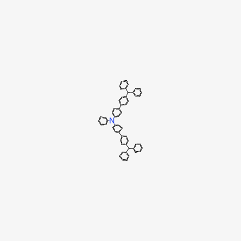 c1ccc(C(c2ccccc2)c2ccc(-c3ccc(N(c4ccccc4)c4ccc(-c5ccc(C(c6ccccc6)c6ccccc6)cc5)cc4)cc3)cc2)cc1